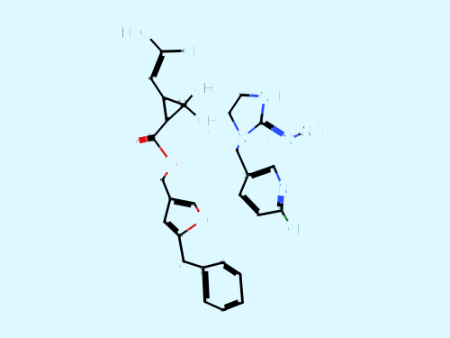 CC(C)=CC1C(C(=O)OCc2coc(Cc3ccccc3)c2)C1(C)C.O=[N+]([O-])/N=C1\NCCN1Cc1ccc(Cl)nc1